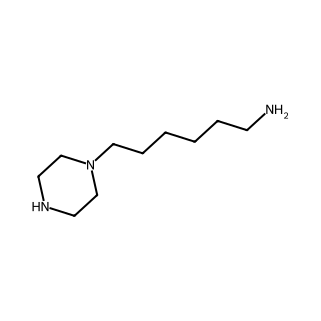 NCCCCCCN1CCNCC1